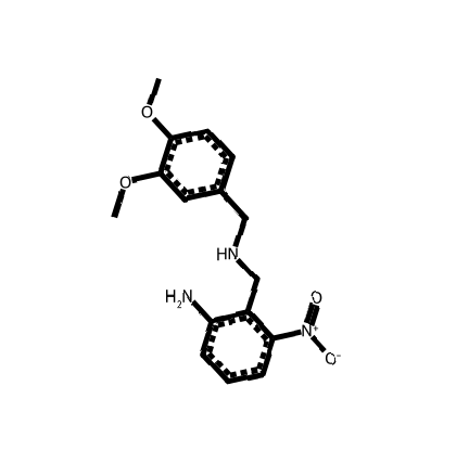 COc1ccc(CNCc2c(N)cccc2[N+](=O)[O-])cc1OC